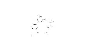 CN(C(=O)OC(C)(C)C)C1(CNc2cnc(Cl)c(-c3cccc(C(=O)O)c3)c2)CC1